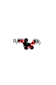 Cc1cc(OCC(=O)OC(C)(C)C)c(C2CCCCC2)cc1C(c1cc(C2CCCCC2)c(OCC(=O)OC(C)(C)C)cc1C)c1ccccc1O